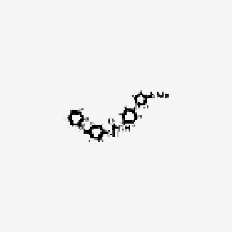 CNC1CCN(c2ccc(NC(=O)Nc3ccc(Oc4ccccc4)cc3)cc2)C1